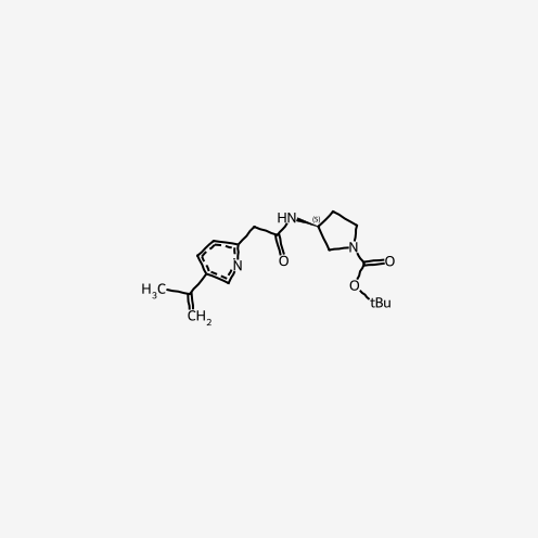 C=C(C)c1ccc(CC(=O)N[C@H]2CCN(C(=O)OC(C)(C)C)C2)nc1